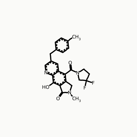 Cc1ccc(Cc2cnc3c(O)c4c(c(C(=O)N5CCC(F)(F)C5)c3c2)CN(C)C4=O)cc1